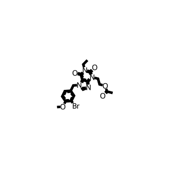 CCn1c(=O)c2c(ncn2Cc2ccc(OC)c(Br)c2)n(CCOC(C)=O)c1=O